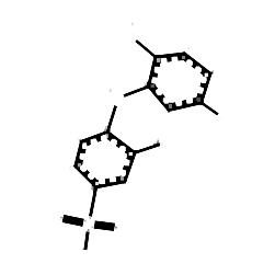 CS(=O)(=O)c1ccc(Sc2cc(Cl)ccc2O)c(Cl)c1